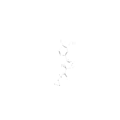 Cc1cc(-c2noc(C(=O)NC3CC3)n2)ccc1F